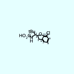 CC(C)(C)C(NC(=O)O)C1Cc2cccc(Cl)c2O1